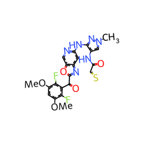 COc1cc(OC)c(F)c(C(=O)c2nc3cc(Nc4nn(C)cc4NC(=O)C=S)ncc3o2)c1F